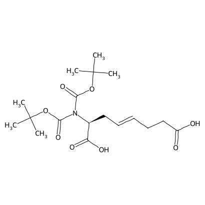 CC(C)(C)OC(=O)N(C(=O)OC(C)(C)C)[C@@H](CC=CCCC(=O)O)C(=O)O